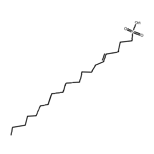 CCCCCCCCCCCCCCC=CCCCS(=O)(=O)O